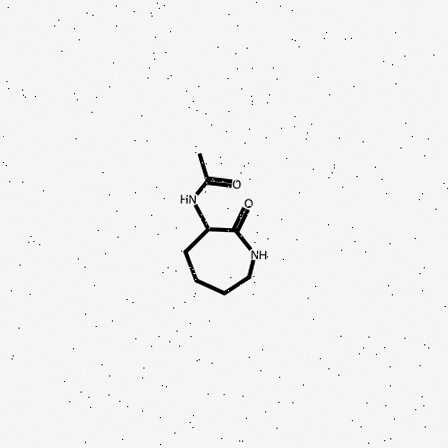 CC(=O)NC1CCCCNC1=O